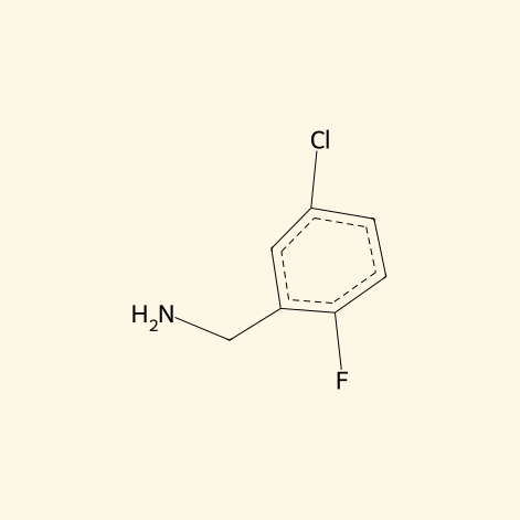 NCc1cc(Cl)ccc1F